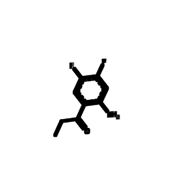 CCC(=O)c1cc(F)c(F)cc1N